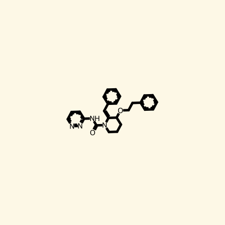 O=C(Nc1cccnn1)N1CCCC(OCCc2ccccc2)C1=Cc1ccccc1